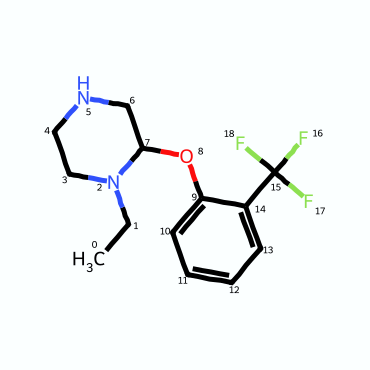 CCN1CCNCC1Oc1ccccc1C(F)(F)F